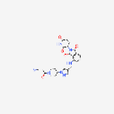 N#CCC(=O)N1CCC(n2cc(CNc3cccc4c3C(=O)N(C3CCC(=O)NC3=O)C4=O)cn2)CC1